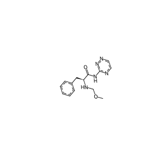 COCN[C@@H](Cc1ccccc1)C(=O)Nc1nccnn1